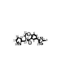 Cc1nc(-c2ccc3c(c2)C(=O)N(Cc2ccccn2)CCO3)cs1